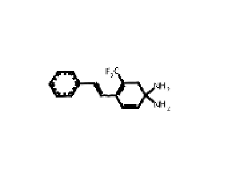 NC1(N)C=CC(C=Cc2ccccc2)=C(C(F)(F)F)C1